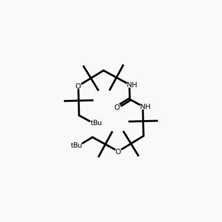 CC(C)(C)CC(C)(C)OC(C)(C)CC(C)(C)NC(=O)NC(C)(C)CC(C)(C)OC(C)(C)CC(C)(C)C